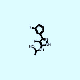 CC(O)Nc1[nH]nc(-c2cccc(F)c2)c1I